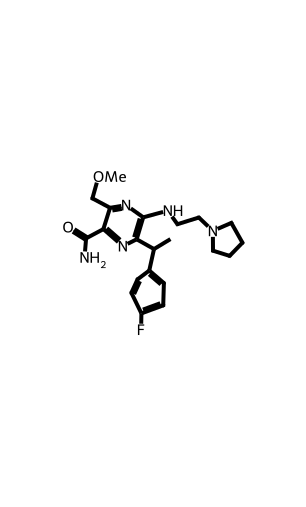 COCc1nc(NCCN2CCCC2)c(C(C)c2ccc(F)cc2)nc1C(N)=O